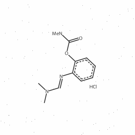 CNC(=O)Oc1ccccc1N=CN(C)C.Cl